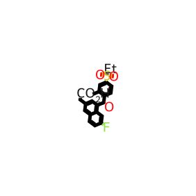 CCS(=O)(=O)c1ccc(C(=O)c2cc(CC(=O)O)cc3ccc(F)cc23)c(C)c1